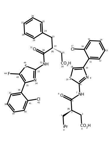 CC(C)C[C@H](CC(=O)O)C(=O)Nc1nc(-c2ccccc2Cl)cs1.O=C(O)C[C@@H](Cc1ccccc1)C(=O)Nc1nc(-c2ccccc2Cl)c(F)s1